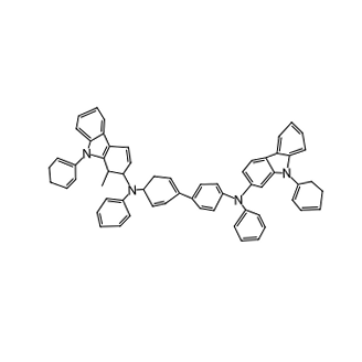 CC1c2c(c3ccccc3n2C2=CCCC=C2)C=CC1N(c1ccccc1)C1C=CC(c2ccc(N(c3ccccc3)c3ccc4c5ccccc5n(C5=CC=CCC5)c4c3)cc2)=CC1